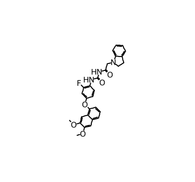 COc1cc2cccc(Oc3ccc(NC(=O)NC(=O)CN4CCc5ccccc54)c(F)c3)c2cc1OC